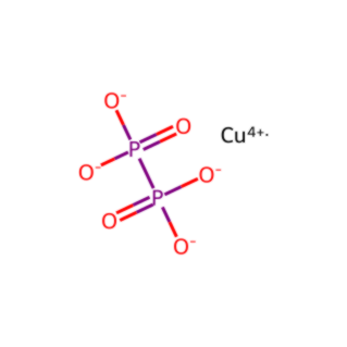 O=P([O-])([O-])P(=O)([O-])[O-].[Cu+4]